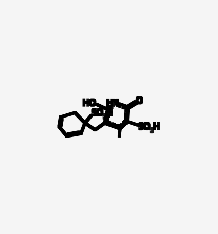 Cc1c(CC2(S(=O)(=O)O)C=CC=CC2)c(O)[nH]c(=O)c1S(=O)(=O)O